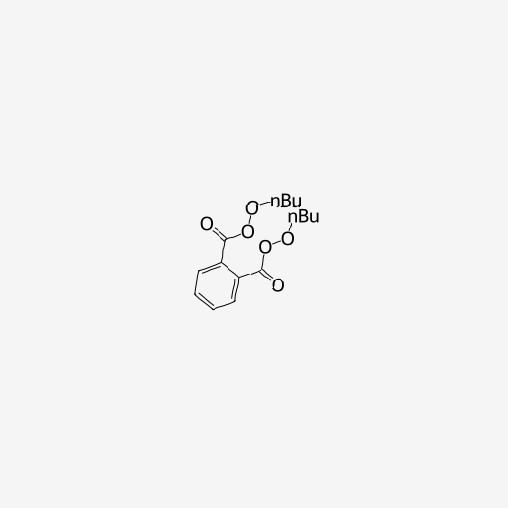 CCCCOOC(=O)c1ccccc1C(=O)OOCCCC